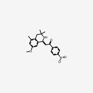 COc1cc(C)c2c(c1)C(=CC(=O)c1ccc([N+](=O)[O-])cc1)NC(C)(C)C2